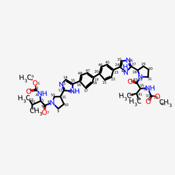 COC(=O)NC(C(=O)N1CCC(c2ncc(-c3ccc(-c4ccc(-c5cnc(C6CCCN6C(=O)C(NC(=O)OC)C(C)C)[nH]5)cc4)cc3)[nH]2)C1)C(C)C